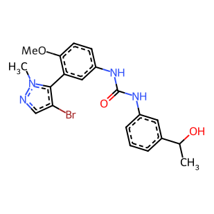 COc1ccc(NC(=O)Nc2cccc(C(C)O)c2)cc1-c1c(Br)cnn1C